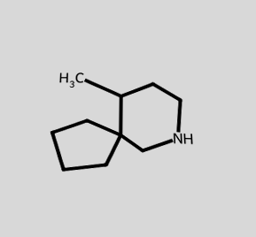 CC1CCNCC12CCCC2